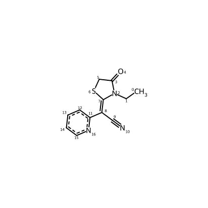 CCN1C(=O)CS/C1=C(/C#N)c1ccccn1